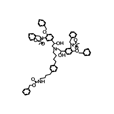 CS(=O)(=O)N(Cc1ccccc1)c1cc([C@@H](O)CN(CCCCc2ccc(CCCCNC(=O)OCc3ccccc3)cc2)C[C@H](O)c2ccc(OCc3ccccc3)c(N(Cc3ccccc3)S(C)(=O)=O)c2)ccc1OCc1ccccc1